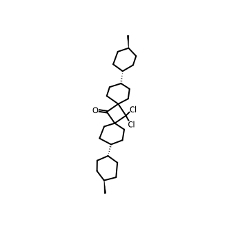 C[C@H]1CC[C@H](C2CCC3(CC2)C(=O)C2(CCC([C@H]4CC[C@H](C)CC4)CC2)C3(Cl)Cl)CC1